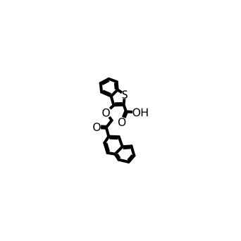 O=C(COc1c(C(=O)O)sc2ccccc12)c1ccc2ccccc2c1